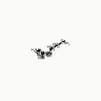 CC(N)C(=O)SCCNC(=O)CCNC(=O)[C@H](O)C(C)(C)COP(=O)(O)OP(=O)(O)OC[C@H]1O[C@@H](n2cnc3c(N)ncnc32)[C@H](O)[C@@H]1OP(=O)(O)O